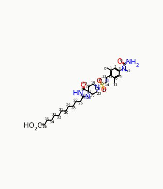 Cc1cc(N(C)C(N)=O)cc(C)c1/C=C/S(=O)(=O)N1CCC2(CC1)N=C(CCCCCCCCCCCC(=O)O)NC2=O